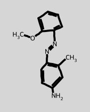 COc1ccccc1N=Nc1ccc(N)cc1C